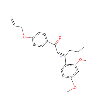 C=CCOc1ccc(C(=O)/C=C(\CCC)c2ccc(OC)cc2OC)cc1